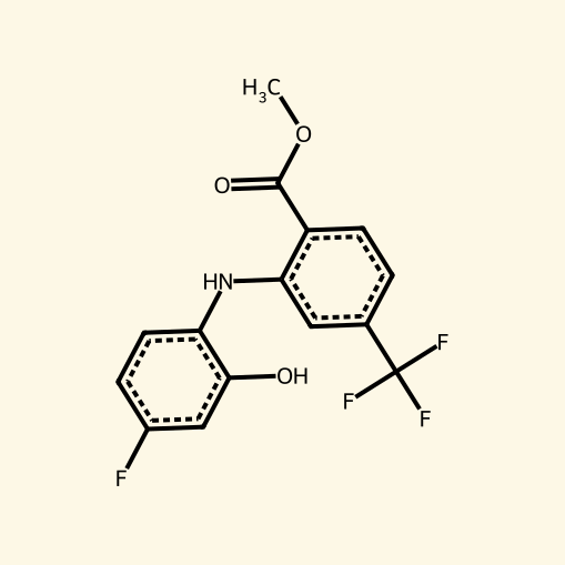 COC(=O)c1ccc(C(F)(F)F)cc1Nc1ccc(F)cc1O